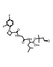 COB(OC(C)(C)CC=O)C(CC(C)C)NC(=O)CNC(=O)C1CCN1c1ccc(F)cc1F